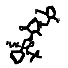 Cc1c(OC[C@@](N)(C(=O)OC(C)(C)C)c2ccccc2)c(=O)ccn1Cc1c(F)cccc1F